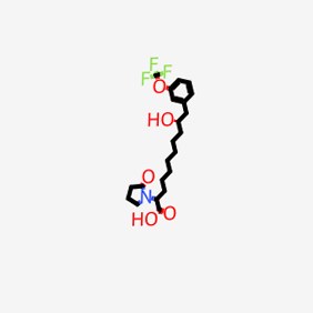 O=C(O)C(CCCCCCC[C@@H](O)Cc1cccc(OC(F)(F)F)c1)N1CCCC1=O